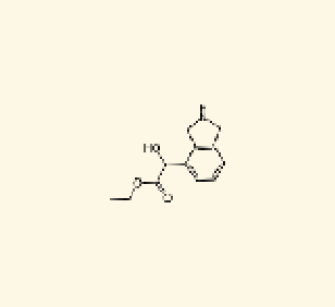 CCOC(=O)C(O)c1cccc2c1CNC2